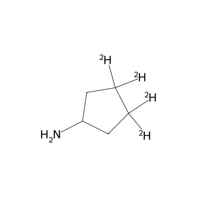 [2H]C1([2H])CC(N)CC1([2H])[2H]